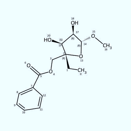 CC[C@]1(COC(=O)c2ccccc2)O[C@@H](OC)[C@H](O)[C@@H]1O